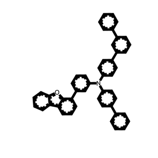 c1ccc(-c2ccc(N(c3ccc(-c4cccc(-c5ccccc5)c4)cc3)c3cccc(-c4cccc5c4oc4ccccc45)c3)cc2)cc1